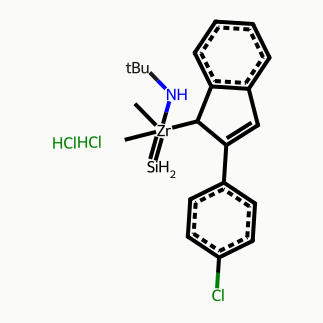 CC(C)(C)[NH][Zr]([CH3])([CH3])(=[SiH2])[CH]1C(c2ccc(Cl)cc2)=Cc2ccccc21.Cl.Cl